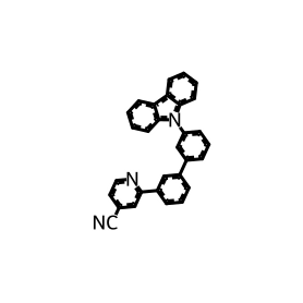 N#Cc1ccnc(-c2cccc(-c3cccc(-n4c5ccccc5c5ccccc54)c3)c2)c1